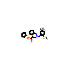 Cc1ccc(C)c(CN(CCC(=O)O)Cc2cccc(Sc3ccccc3)c2)c1